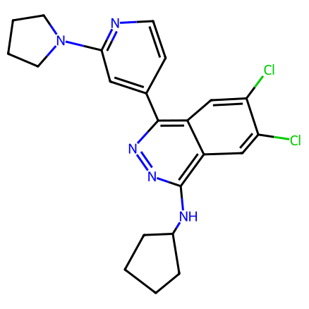 Clc1cc2c(NC3CCCC3)nnc(-c3ccnc(N4CCCC4)c3)c2cc1Cl